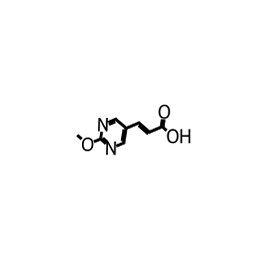 COc1ncc(/C=C/C(=O)O)cn1